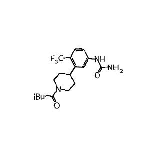 CCC(C)C(=O)N1CCC(c2cc(NC(N)=O)ccc2C(F)(F)F)CC1